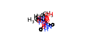 CC(C)[C@H](NC(=O)[C@H](CCC(=O)OC(C)(C)C)NC(=O)[C@H](Cc1c[nH]c2ccccc12)NC(=O)OCc1ccccc1)C(=O)O